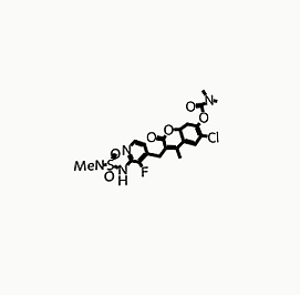 CNS(=O)(=O)Nc1nccc(CC2=C(C)C3=CC(Cl)=C(OC(=O)N(C)C)CC3OC2=O)c1F